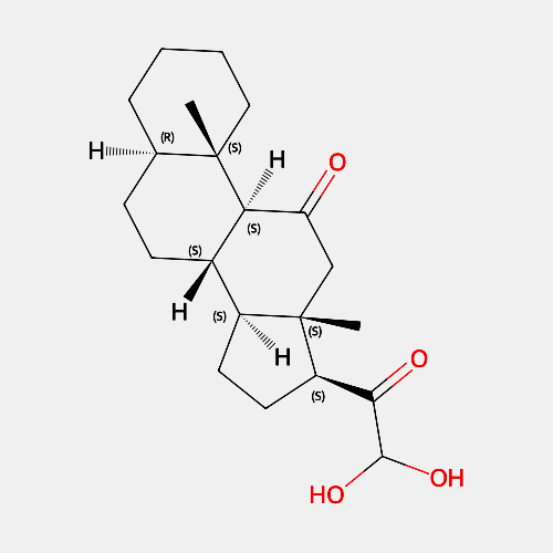 C[C@]12CCCC[C@@H]1CC[C@H]1[C@@H]3CC[C@H](C(=O)C(O)O)[C@@]3(C)CC(=O)[C@@H]12